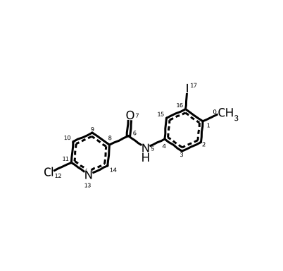 Cc1ccc(NC(=O)c2ccc(Cl)nc2)cc1I